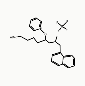 CCCCCCCCCCCCCCC(CC(C)Cc1cccc2ccccc12)O[n+]1ccccc1.F[B-](F)(F)F